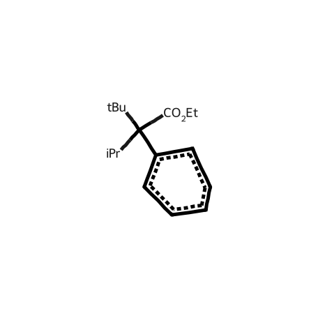 CCOC(=O)C(c1ccccc1)(C(C)C)C(C)(C)C